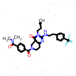 C#CCCn1c(NCCc2ccc(C(F)(F)F)cc2)nc2c(c1=O)CN(C(=O)c1ccc(C(=O)N(C)C)cc1)CC2